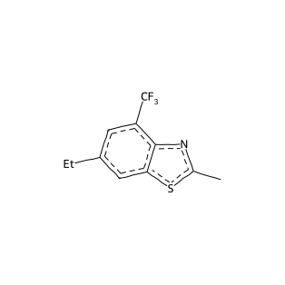 CCc1cc(C(F)(F)F)c2nc(C)sc2c1